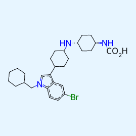 O=C(O)N[C@H]1CC[C@H](NC2CCC(c3cn(CC4CCCCC4)c4ccc(Br)cc34)CC2)CC1